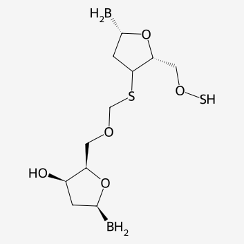 B[C@H]1CC(SCOC[C@H]2O[C@@H](B)C[C@H]2O)[C@@H](COS)O1